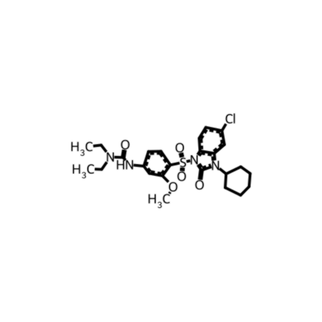 CCN(CC)C(=O)Nc1ccc(S(=O)(=O)n2c(=O)n(C3CCCCC3)c3cc(Cl)ccc32)c(OC)c1